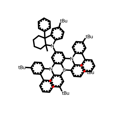 CC(C)(C)c1ccc2c(c1)B1c3ccc(C(C)(C)C)cc3N(c3ccc(C(C)(C)C)cc3-c3ccccc3)c3cc(N4c5ccc(C(C)(C)C)cc5C5(c6ccccc6)CCCCC45C)cc(c31)N2c1ccc(C(C)(C)C)cc1-c1ccccc1